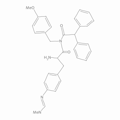 CN/C=N/c1ccc(CC(N)C(=O)N(Cc2ccc(OC)cc2)C(=O)C(c2ccccc2)c2ccccc2)cc1